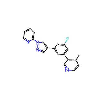 Cc1ccncc1-c1cc(F)cc(-c2cnn(-c3ccccn3)c2)c1